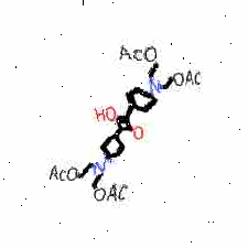 CC(=O)OCCN(CCOC(C)=O)c1ccc(C2=C(O)C(=C3C=CC(=[N+](CCOC(C)=O)CCOC(C)=O)C=C3)C2=O)cc1